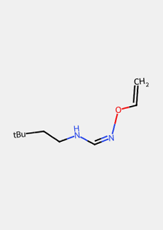 C=CO/N=C\NCCC(C)(C)C